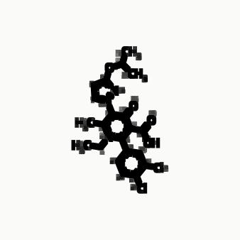 CCn1c(C)c(-n2ccc(OC(C)C)n2)c(=O)c(C(=O)O)c1-c1ccc(Cl)c(Cl)c1